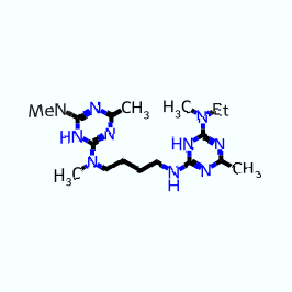 CCN(C)C1=NC(C)N=C(NCCCCN(C)C2=NC(C)N=C(NC)N2)N1